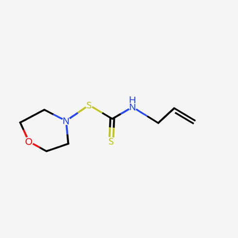 C=CCNC(=S)SN1CCOCC1